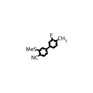 CSc1cc(-c2ccc(C)c(F)c2)ccc1C#N